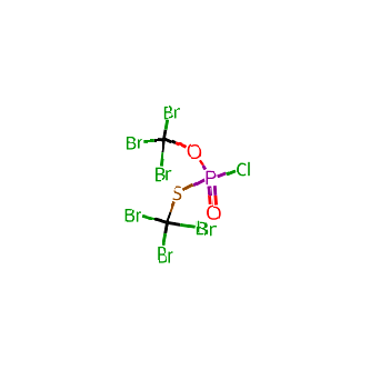 O=P(Cl)(OC(Br)(Br)Br)SC(Br)(Br)Br